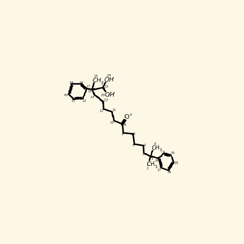 CC(C)(CCCCCC(=O)CCCCCC(C)(c1ccccc1)C(O)O)c1ccccc1